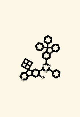 N#Cc1cc2c(cc1-c1nc(-c3ccccc3)nc(-c3ccc4c(c3)-c3ccccc3C4(c3ccccc3)c3ccccc3)n1)C1(c3ccncc3-2)C2CC3CC4CC1C342